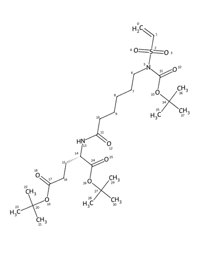 C=CS(=O)(=O)N(CCCCCC(=O)N[C@@H](CCC(=O)OC(C)(C)C)C(=O)OC(C)(C)C)C(=O)OC(C)(C)C